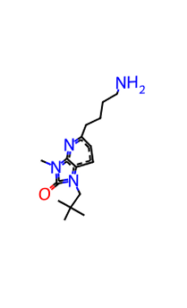 Cn1c(=O)n(CC(C)(C)C)c2ccc(CCCCN)nc21